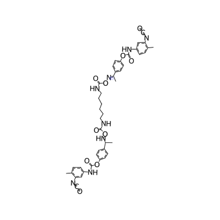 C/C(=N\OC(=O)NCCCCCCNC(=O)ONC(C)c1ccc(OC(=O)Nc2ccc(C)c(N=C=O)c2)cc1)c1ccc(OC(=O)Nc2ccc(C)c(N=C=O)c2)cc1